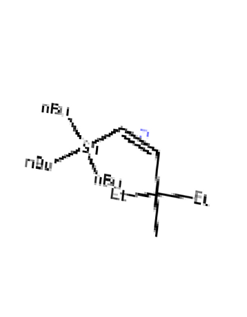 CCC[CH2][Sn](/[CH]=C\C(C)(CC)CC)([CH2]CCC)[CH2]CCC